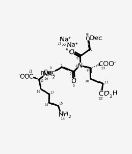 CCCCCCCCCCCC(=O)N(C(=O)CCCCCCCCCCC)[C@@H](CCC(=O)O)C(=O)[O-].NCCCC[C@H](N)C(=O)[O-].[Na+].[Na+]